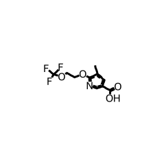 Cc1cc(C(=O)O)cnc1OCCOC(F)(F)F